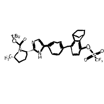 C[C@H]1CC[C@@H](c2ncc(-c3ccc(-c4ccc(OS(=O)(=O)C(F)(F)F)c5c4C4CCC5C4)cc3)[nH]2)N1C(=O)OC(C)(C)C